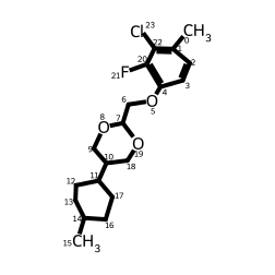 Cc1ccc(OCC2OCC(C3CCC(C)CC3)CO2)c(F)c1Cl